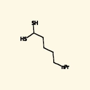 CCCCCCCC(S)S